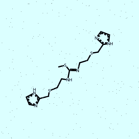 CSC(=NCCSCc1ncc[nH]1)NCCSCc1ncc[nH]1